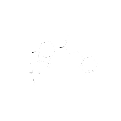 O=C(NNc1cccnc1)[C@@H]1CC[C@@H]2CN1C(=O)N2OS(=O)(=O)O